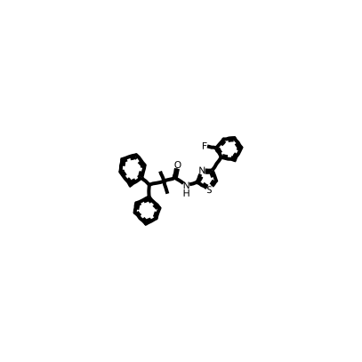 CC(C)(C(=O)Nc1nc(-c2ccccc2F)cs1)C(c1ccccc1)c1ccccc1